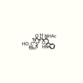 CC(=O)N[C@@H](Cc1c[nH]c2ccccc12)C(=O)N[C@@H](CSSC(C)(C)C)C(=O)N(C)CC(=O)O